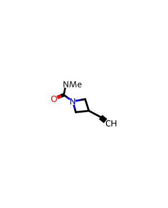 C#CC1CN(C(=O)NC)C1